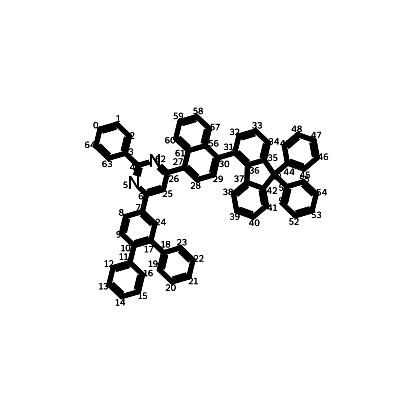 c1ccc(-c2nc(-c3ccc(-c4ccccc4)c(-c4ccccc4)c3)cc(-c3ccc(-c4cccc5c4-c4ccccc4C5(c4ccccc4)c4ccccc4)c4ccccc34)n2)cc1